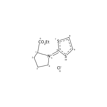 CCOC(=O)C1CCC[N+]1=c1sccs1.[Cl-]